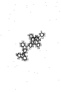 c1ccc(-c2nc(-c3ccccc3)nc(-c3ccccc3-n3c4ccccc4c4cc(C5c6ccccc6-c6cc(-n7c8ccccc8c8ccccc87)ccc65)ccc43)n2)cc1